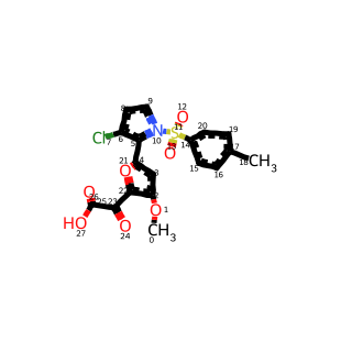 COc1cc(-c2c(Cl)ccn2S(=O)(=O)c2ccc(C)cc2)oc1C(=O)C(=O)O